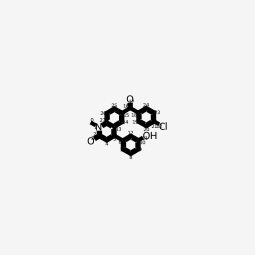 Cn1c(=O)cc(-c2cccc(O)c2)c2cc(C(=O)c3ccc(Cl)cc3)ccc21